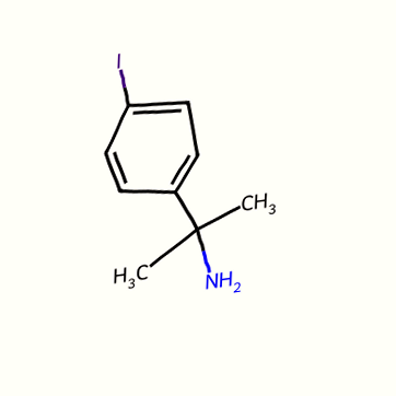 CC(C)(N)c1ccc(I)cc1